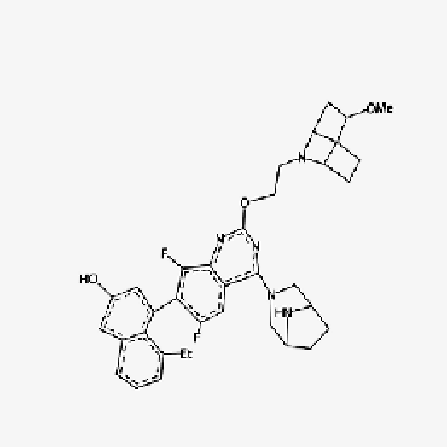 CCc1cccc2cc(O)cc(-c3c(F)cc4c(N5CC6CCC(C5)N6)nc(OCCN5C6CCC67C(OC)CC57)nc4c3F)c12